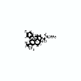 CON(C)C(=O)[C@@H]1CC[C@@]2(S(=O)(=O)c3ccc(F)cc3)c3ccc(C(C)(F)C(F)(F)F)cc3CC[C@@H]12